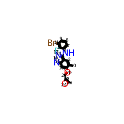 Cc1cc2c(Nc3cccc(Br)c3F)ncnc2cc1OC[C@H]1CO1